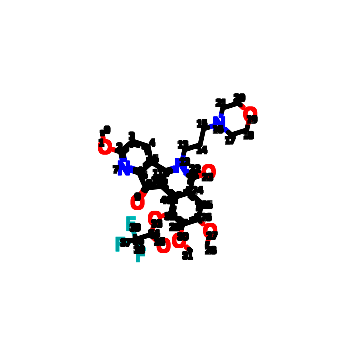 COc1ccc2c(n1)C(=O)c1c-2n(CCCN2CCOCC2)c(=O)c2cc(OC)c(OC)c(OC(=O)C(F)(F)F)c12